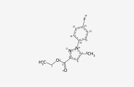 CCOC(=O)c1cc(C)n(-c2ccc(F)cc2)n1